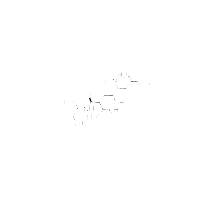 CCC(C)NC(=O)[C@@H](C[C@H](O)C(N)CC(C)C)C(C)C